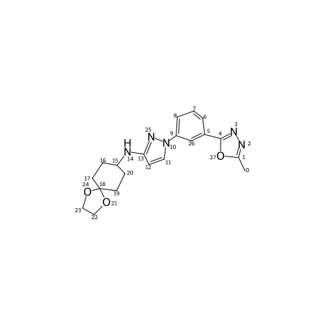 Cc1nnc(-c2cccc(-n3ccc(NC4CCC5(CC4)OCCO5)n3)c2)o1